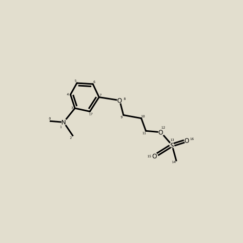 CN(C)c1cccc(OCCCOS(C)(=O)=O)c1